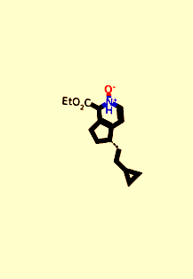 CCOC(=O)C1C2=C(C=C[NH+]1[O-])[C@H](CCC1CC1)CC2